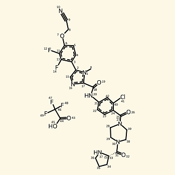 Cn1c(-c2ccc(OCC#N)c(F)c2F)cnc1C(=O)Nc1ccc(C(=O)N2CCN(C(=O)[C@@H]3CCCN3)CC2)c(Cl)c1.O=C(O)C(F)(F)F